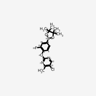 Cc1nc(Oc2ccc(B3OC(C)(C)C(C)(C)O3)cc2F)ncc1Cl